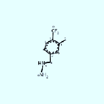 Cc1cc(CNN)ccc1C(F)(F)F